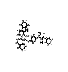 O=C(NNc1ccccc1)c1ccc(CN(Cc2nccc3c2[nH]c2ccccc23)[C@H]2CCCc3cccnc32)cc1